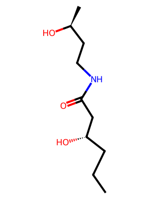 CCC[C@H](O)CC(=O)NCC[C@H](C)O